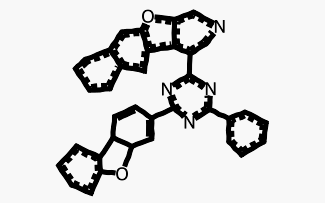 C1=CC2c3ccccc3OC2C=C1c1nc(-c2ccccc2)nc(-c2cncc3oc4cc5ccccc5cc4c23)n1